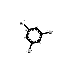 Brc1[c]c(Br)cc(Br)c1